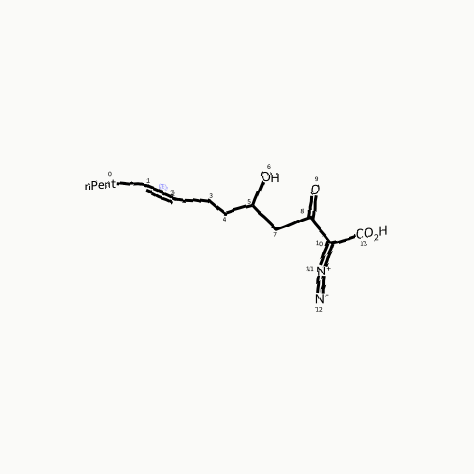 CCCCC/C=C/CCC(O)CC(=O)C(=[N+]=[N-])C(=O)O